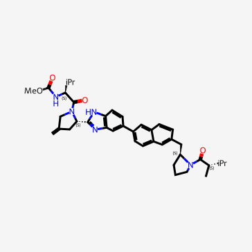 C=C1C[C@@H](c2nc3cc(-c4ccc5cc(C[C@@H]6CCCN6C(=O)[C@@H](C)C(C)C)ccc5c4)ccc3[nH]2)N(C(=O)[C@@H](NC(=O)OC)C(C)C)C1